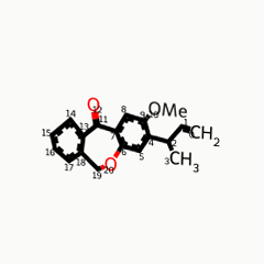 C=CC(C)c1cc2c(cc1OC)C(=O)c1ccccc1CO2